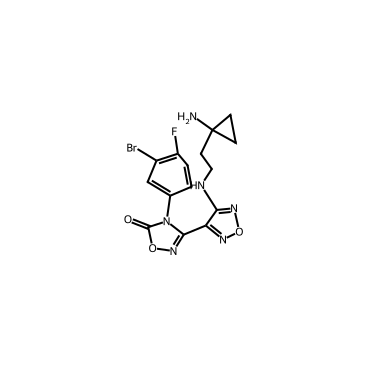 NC1(CCNc2nonc2-c2noc(=O)n2-c2ccc(F)c(Br)c2)CC1